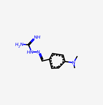 CN(C)c1ccc(C=NNC(=N)N)cc1